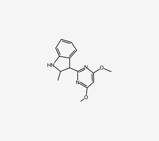 COc1cc(OC)nc(C2c3ccccc3NC2C)n1